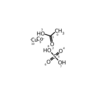 CC(=O)O.O=S(=O)(O)O.[Co].[Cu]